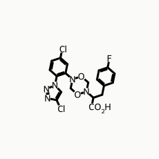 O=C(O)C(Cc1ccc(F)cc1)N1CON(c2cc(Cl)ccc2-n2cc(Cl)nn2)CO1